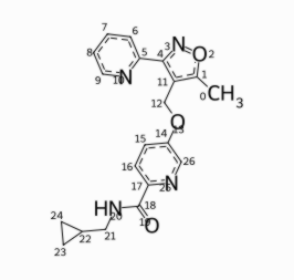 Cc1onc(-c2ccccn2)c1COc1ccc(C(=O)NCC2CC2)nc1